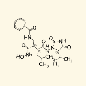 CC(C)C[C@@H](C(=O)NN1C(=O)NC(=O)[C@@H]1C(C)C)[C@H](CNC(=O)c1ccccc1)C(=O)NO